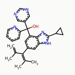 C=C(C)C(=C(C)C)c1cc(C(O)(c2cncnc2)c2ccccn2)c2nc(C3CC3)[nH]c2c1